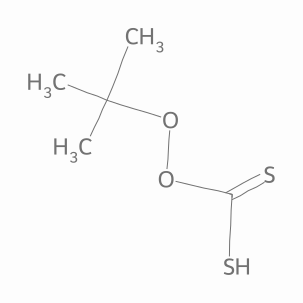 CC(C)(C)OOC(=S)S